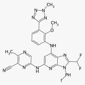 COc1c(Nc2cc(Nc3cnc(C)c(C#N)n3)nc3c2nc(C(F)F)n3PI)cccc1-c1nnn(C)n1